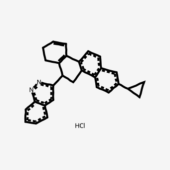 C1=CC2=C(CC1)C(c1cc3ccccc3nn1)Cc1c2ccc2cc(C3CC3)ccc12.Cl